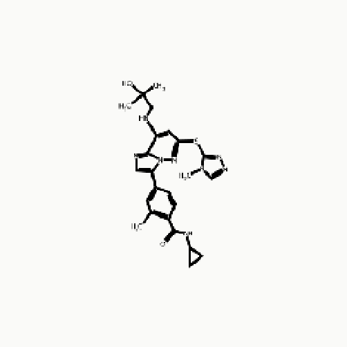 Cc1cc(-c2cnc3c(NCC(C)(C)O)cc(Sc4nncn4C)nn23)ccc1C(=O)NC1CC1